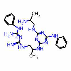 CC(N)CNc1nc(Nc2ccccc2)nc(NC(C)CNC(=N)/N=C(\N)Nc2ccccc2)n1